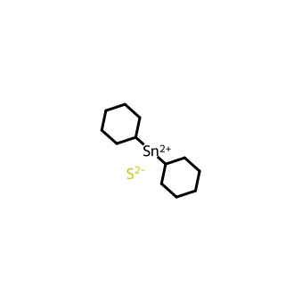 C1CC[CH]([Sn+2][CH]2CCCCC2)CC1.[S-2]